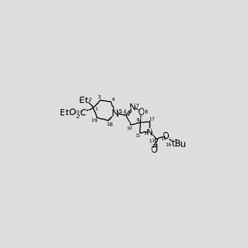 CCOC(=O)C1(CC)CCN(C2=NOC3(C2)CN(C(=O)OC(C)(C)C)C3)CC1